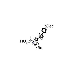 CCCCCCCCCCc1ccc(-c2noc(C3CN(/C(=N\C(=O)OC(C)(C)C)NC(=O)O)C3)n2)cc1